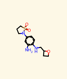 Nc1cc(N2CCCS2(=O)=O)ccc1NCC1CCO1